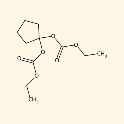 CCOC(=O)OC1(OC(=O)OCC)CCCC1